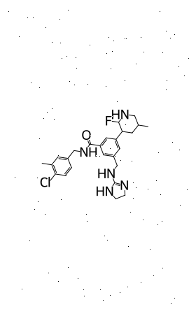 Cc1cc(CNC(=O)c2cc(CNC3=NCCN3)cc(C3CC(C)CNC3F)c2)ccc1Cl